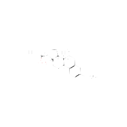 COC1=CCC2=C(C1)C[C@@H](C)[C@@H]1[C@@H]2CC[C@@]2(C)[C@@H]1CC[C@H]2[C@@H](C)O